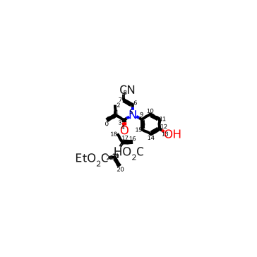 C=C(C)C(=O)N(C=CC#N)c1ccc(O)cc1.C=C(C)C(=O)O.C=CC(=O)OCC